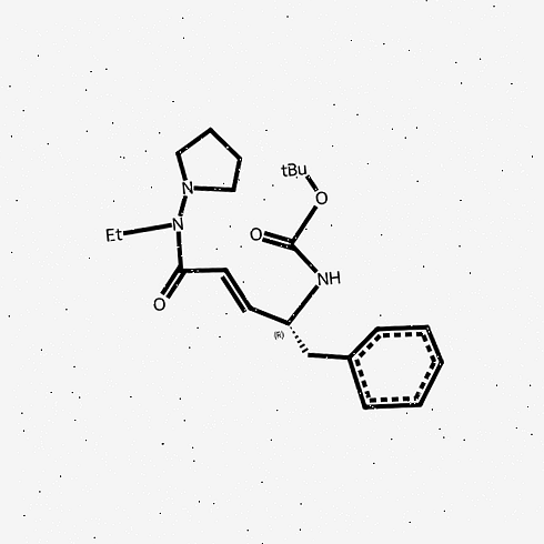 CCN(C(=O)C=C[C@@H](Cc1ccccc1)NC(=O)OC(C)(C)C)N1CCCC1